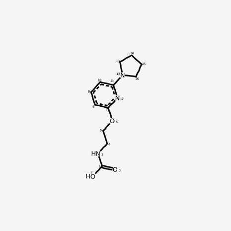 O=C(O)NCCOc1cccc(N2CCCC2)n1